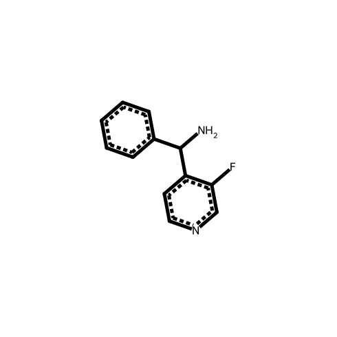 NC(c1ccccc1)c1ccncc1F